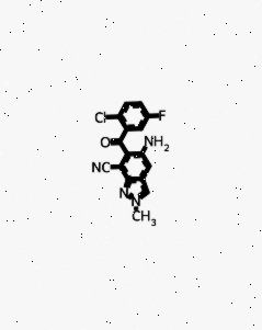 Cn1cc2cc(N)c(C(=O)c3cc(F)ccc3Cl)c(C#N)c2n1